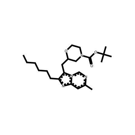 CCCCCCc1nc2cc(C)ncn2c1CC1CN(C(=O)OC(C)(C)C)CCO1